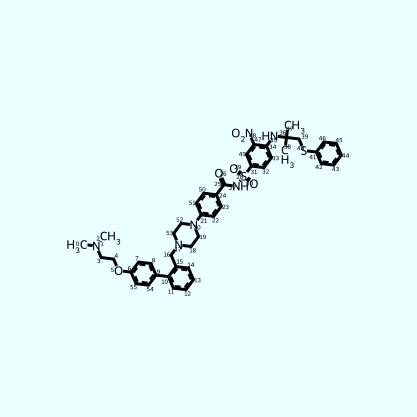 CN(C)CCOc1ccc(-c2ccccc2CN2CCN(c3ccc(C(=O)NS(=O)(=O)c4ccc(NC(C)(C)CSc5ccccc5)c([N+](=O)[O-])c4)cc3)CC2)cc1